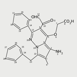 Cc1c(N)c2c(OCC(=O)O)c(C(=O)[C]=O)c(-c3ccccc3)nn2c1Cc1ccccc1